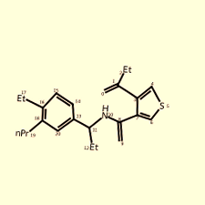 C=C(CC)c1cscc1C(=C)NC(CC)c1ccc(CC)c(CCC)c1